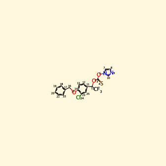 FC(F)(F)C(OC(=S)On1ccnc1)c1ccc(OCc2ccccc2)c(Cl)c1